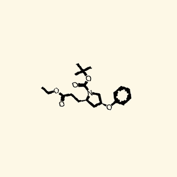 CCOC(=O)CC[C@@H]1C[C@H](Oc2ccccc2)CN1C(=O)OC(C)(C)C